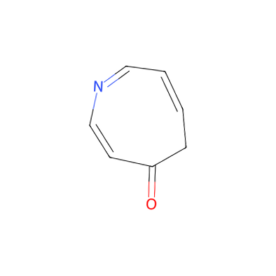 O=C1C=CN=CC=CC1